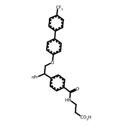 CCCC(COc1ccc(-c2ccc(C(F)(F)F)cc2)cc1)c1ccc(C(=O)NCCC(=O)O)cc1